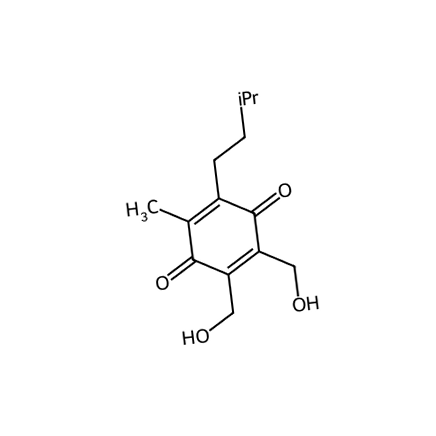 CC1=C(CCC(C)C)C(=O)C(CO)=C(CO)C1=O